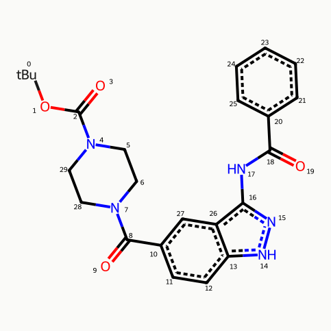 CC(C)(C)OC(=O)N1CCN(C(=O)c2ccc3[nH]nc(NC(=O)c4ccccc4)c3c2)CC1